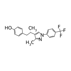 Cc1nn(-c2ccc(C(F)(F)F)cc2)cc1[C@@H](C)Cc1ccc(O)cc1